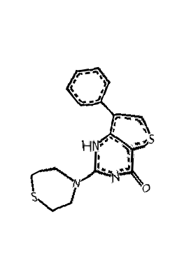 O=c1nc(N2CCSCC2)[nH]c2c(-c3ccccc3)csc12